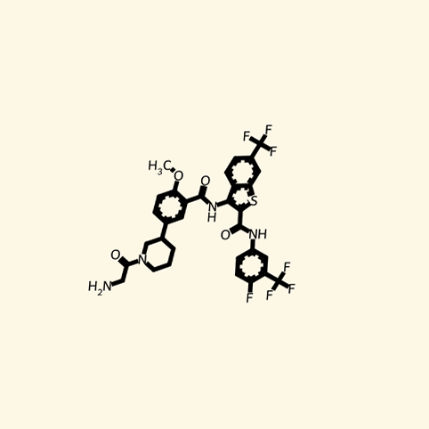 COc1ccc(C2CCCN(C(=O)CN)C2)cc1C(=O)Nc1c(C(=O)Nc2ccc(F)c(C(F)(F)F)c2)sc2cc(C(F)(F)F)ccc12